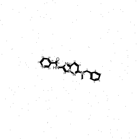 CN(Cc1ccccc1)c1ccc2nc(NC(=O)c3cccnc3)cn2n1